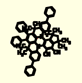 CC1(C)CC(C)(C)c2c(N3c4ccc(-c5ccccc5)cc4C(C)(C)c4cc(-c5ccccc5)ccc43)c(N3c4ccc(-c5ccccc5)cc4C(C)(C)c4cc(-c5ccccc5)ccc43)c(C#N)c(C#N)c21